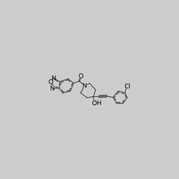 O=C(c1ccc2nonc2c1)N1CCC(O)(C#Cc2cccc(Cl)c2)CC1